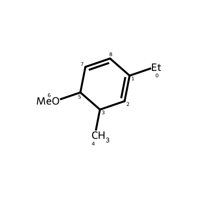 CCC1=CC(C)C(OC)C=C1